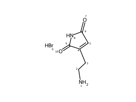 Br.NCCC1=CC(=O)NC1=O